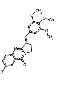 COc1cc(/C=C2\CCn3c2nc2ccc(Cl)cc2c3=O)cc(OC)c1OC